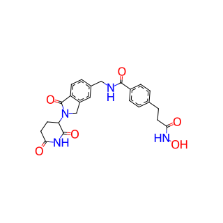 O=C(CCc1ccc(C(=O)NCc2ccc3c(c2)CN(C2CCC(=O)NC2=O)C3=O)cc1)NO